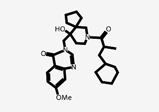 COc1ccc2c(=O)n(CC3(O)CCN(C(=O)C(C)CC4CCCCC4)CC34CCCC4)cnc2c1